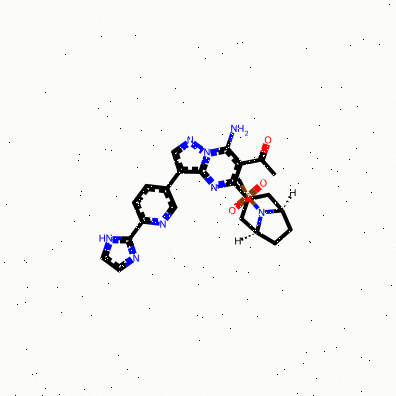 CC(=O)c1c(C2C[C@H]3CC[C@@H](C2)N3S(C)(=O)=O)nc2c(-c3ccc(-c4ncc[nH]4)nc3)cnn2c1N